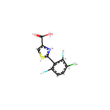 O=C(O)c1csc(-c2c(F)ccc(Cl)c2F)n1